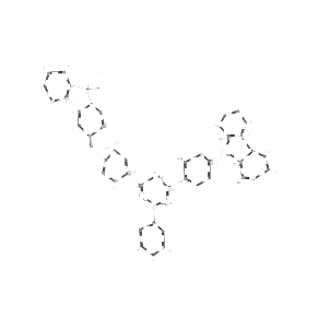 CC1(C)c2ccccc2-c2cc3c(cc21)Oc1cc(-c2nc(-c4ccccc4)nc(-c4ccc(-n5c6ccccc6c6ccccc65)cc4)n2)ccc1O3